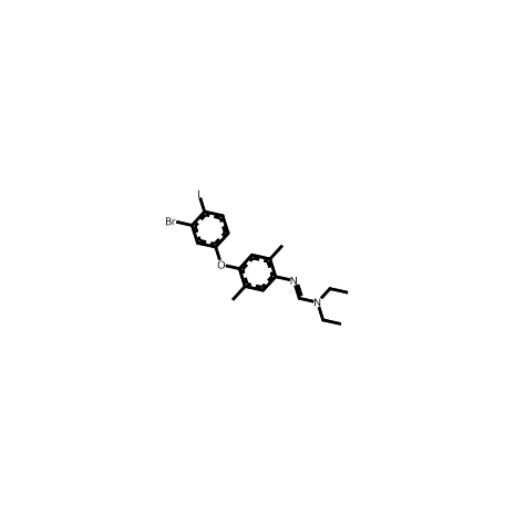 CCN(/C=N/c1cc(C)c(Oc2ccc(I)c(Br)c2)cc1C)CC